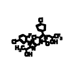 CC(O)c1nc(Cn2c(Cl)c(-c3ccc(Cl)cc3)n(CC(O)C(F)(F)F)c2=O)nn1-c1cc(Cl)ccc1F